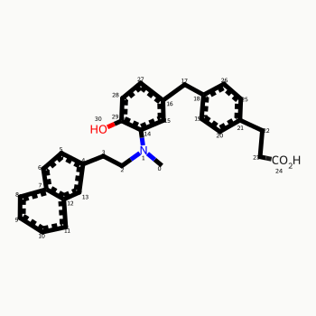 CN(CCc1ccc2ccccc2c1)c1cc(Cc2ccc(CCC(=O)O)cc2)ccc1O